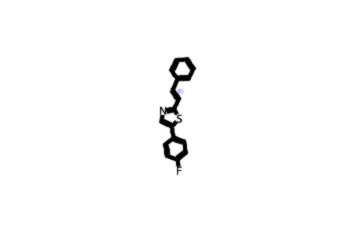 Fc1ccc(-c2cnc(/C=C/c3ccccc3)s2)cc1